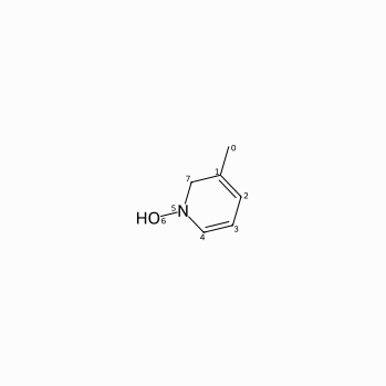 CC1=CC=CN(O)C1